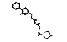 NC(=NCc1cc(CCc2ccc(-c3ccccc3)c(F)c2)no1)N1CCC(=O)CC1